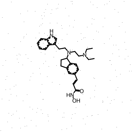 CCN(CC)CCN(CCc1c[nH]c2ccccc12)C1CCc2cc(C=CC(=O)NO)ccc21